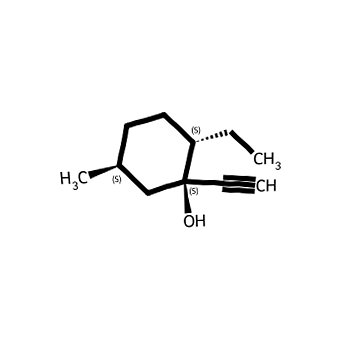 C#C[C@]1(O)C[C@@H](C)CC[C@@H]1CC